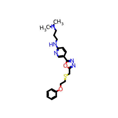 CN(C)CCCNc1ccc(-c2nnc(CSCCOc3ccccc3)o2)cn1